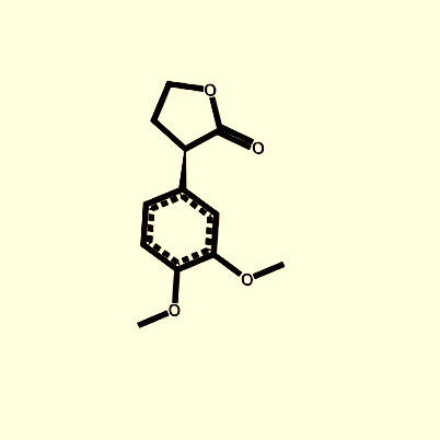 COc1ccc([C@H]2CCOC2=O)cc1OC